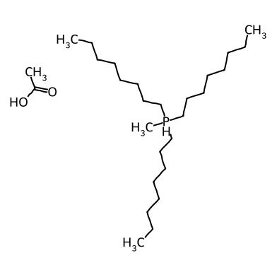 CC(=O)O.CCCCCCCC[PH](C)(CCCCCCCC)CCCCCCCC